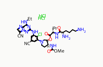 CCNc1nc(Nc2cc(C#N)cc(N3CC[C@@H](NC(=O)OC)[C@H](OC(=O)[C@@H](NC(=O)[C@@H](N)CCCCN)C(C)C)C3)c2Cl)nn2c(C#N)cnc12.Cl.Cl